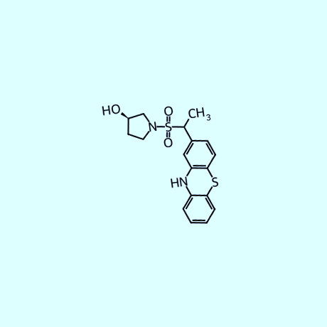 CC(c1ccc2c(c1)Nc1ccccc1S2)S(=O)(=O)N1CC[C@@H](O)C1